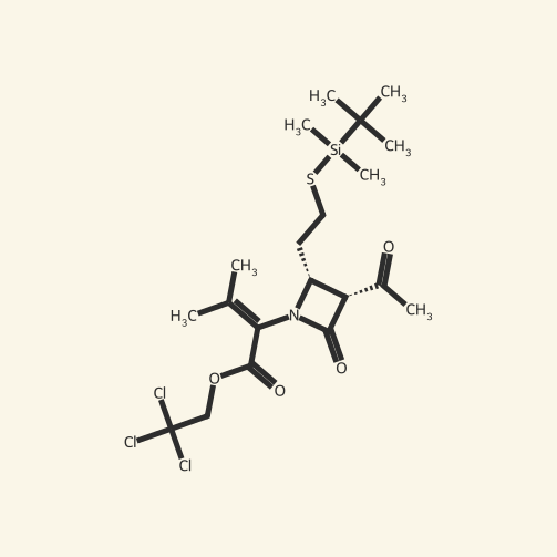 CC(=O)[C@@H]1C(=O)N(C(C(=O)OCC(Cl)(Cl)Cl)=C(C)C)[C@@H]1CCS[Si](C)(C)C(C)(C)C